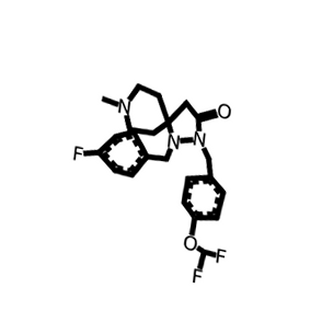 CN1CCC2(CC1)CC(=O)N(Cc1ccc(OC(F)F)cc1)N2Cc1ccc(F)cc1